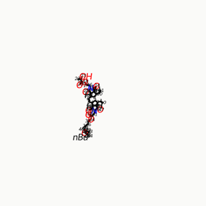 C=CC1CC(/C=C\C2CC(C=C)[C@@H]3C(=O)N(CCOC(=O)C(C)O)C(=O)[C@H]23)[C@@H]2C(=O)N(CC(=O)OCCC[Si](C)(C)O[Si](C)(C)CCCC)C(=O)[C@H]12